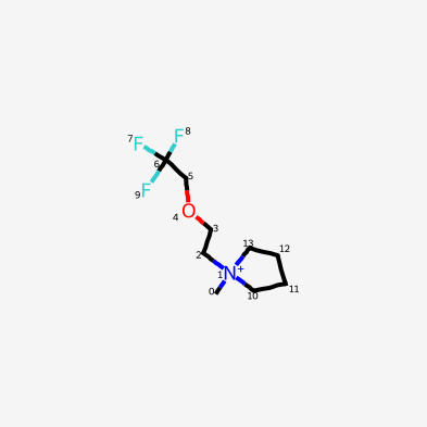 C[N+]1(CCOCC(F)(F)F)CCCC1